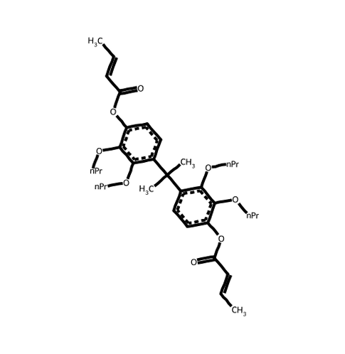 CC=CC(=O)Oc1ccc(C(C)(C)c2ccc(OC(=O)C=CC)c(OCCC)c2OCCC)c(OCCC)c1OCCC